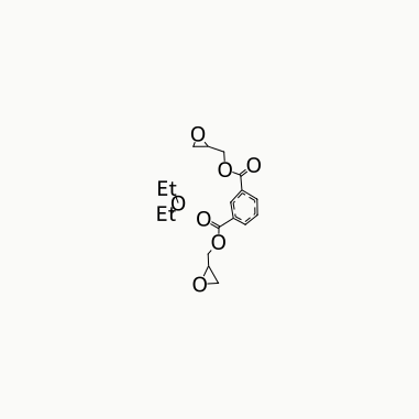 CCOCC.O=C(OCC1CO1)c1cccc(C(=O)OCC2CO2)c1